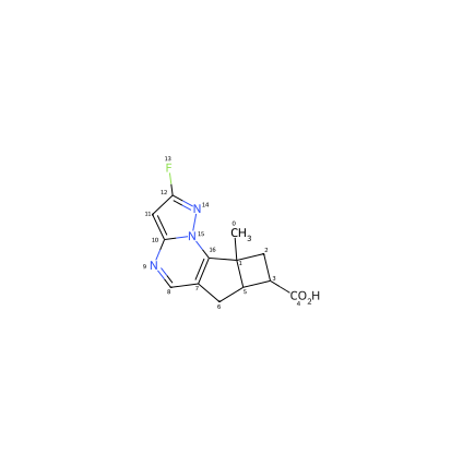 CC12CC(C(=O)O)C1Cc1cnc3cc(F)nn3c12